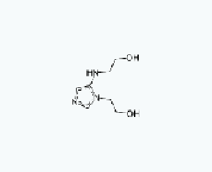 OCCNc1cncn1CCO